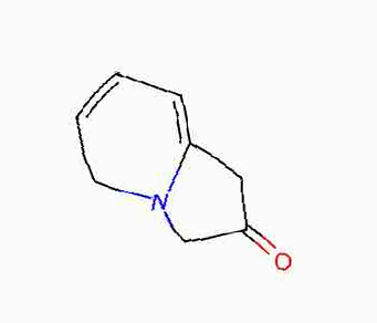 O=C1CC2=CC=CCN2C1